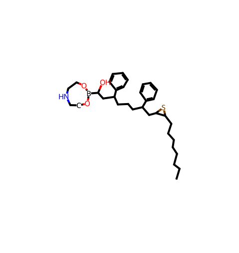 CCCCCCCCC1SC1CC(CCCC(CC(O)B1OCCNCCO1)c1ccccc1)c1ccccc1